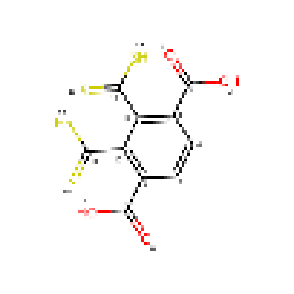 O=C(O)c1ccc(C(=O)O)c(C(=S)S)c1C(=S)S